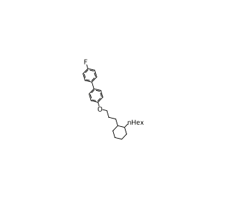 CCCCCCC1CCCCC1CCCOc1ccc(-c2ccc(F)cc2)cc1